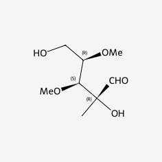 CO[C@H](CO)[C@H](OC)[C@@](C)(O)C=O